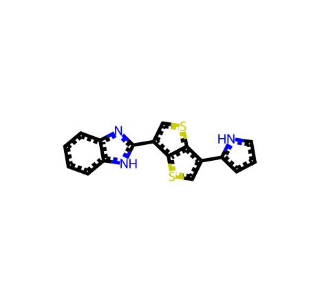 c1c[nH]c(-c2csc3c(-c4nc5ccccc5[nH]4)csc23)c1